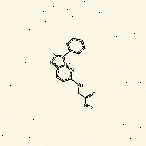 NC(=O)CNc1ccc2nnc(-c3ccccc3)n2n1